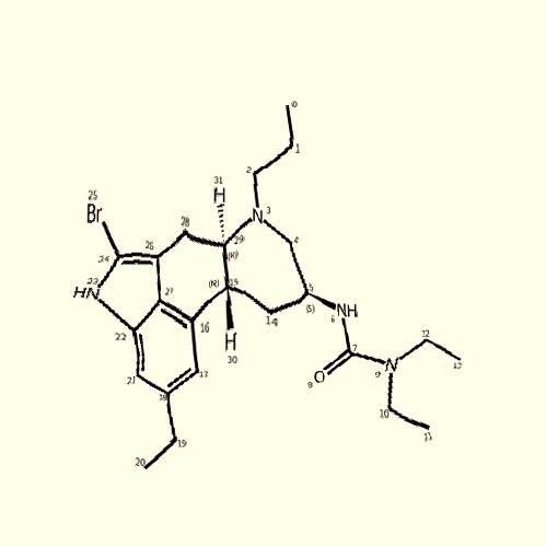 CCCN1C[C@@H](NC(=O)N(CC)CC)C[C@@H]2c3cc(CC)cc4[nH]c(Br)c(c34)C[C@H]21